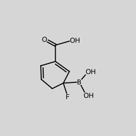 O=C(O)C1=CC(F)(B(O)O)CC=C1